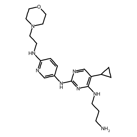 NCCCNc1nc(Nc2ccc(NCCN3CCOCC3)nc2)ncc1C1CC1